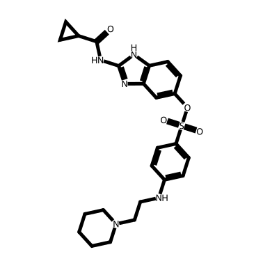 O=C(Nc1nc2cc(OS(=O)(=O)c3ccc(NCCN4CCCCC4)cc3)ccc2[nH]1)C1CC1